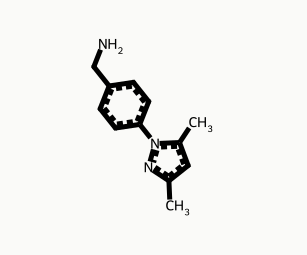 Cc1cc(C)n(-c2ccc(CN)cc2)n1